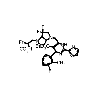 CCOC(=O)C1=C(CN2CC(F)(F)C3C2CON3CC(CC)C(=O)O)NC(c2nccs2)=NC1c1cccc(F)c1C